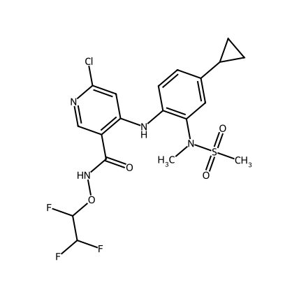 CN(c1cc(C2CC2)ccc1Nc1cc(Cl)ncc1C(=O)NOC(F)C(F)F)S(C)(=O)=O